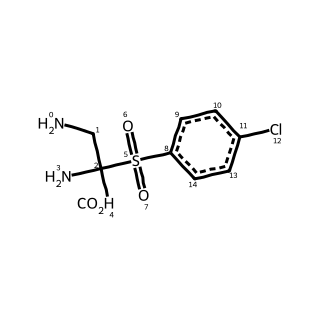 NCC(N)(C(=O)O)S(=O)(=O)c1ccc(Cl)cc1